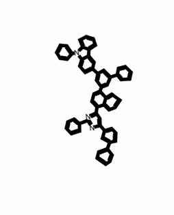 c1ccc(-c2cccc(-c3cc(-c4ccc(-c5cc(-c6ccccc6)cc(-c6ccc7c(c6)c6ccccc6n7-c6ccccc6)c5)c5ccccc45)nc(-c4ccccc4)n3)c2)cc1